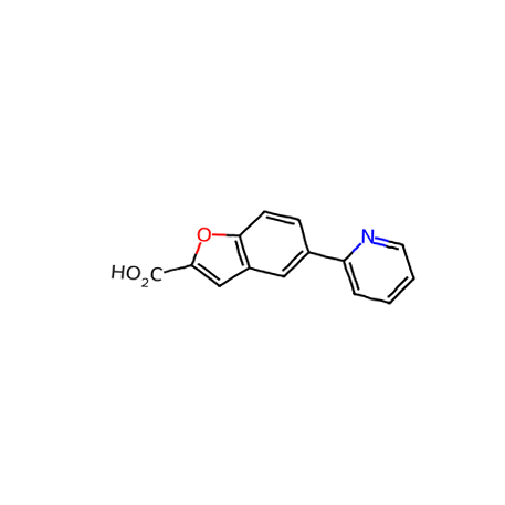 O=C(O)c1cc2cc(-c3ccccn3)ccc2o1